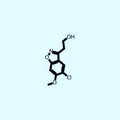 COc1cc2onc(CCO)c2cc1Cl